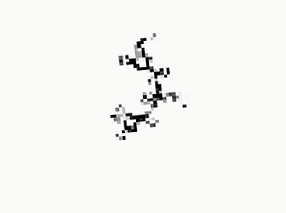 [CH2]C([CH2])(COC(=O)C1CC(=O)N(CC(C)C)C1)COC(=O)C1CC(=O)N(CC(C)C)C1